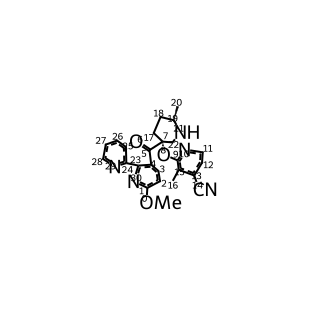 COc1ccc(C(=O)[C@@]2(Oc3nccc(C#N)c3C)CC[C@@H](C)NC2)c(-c2ccccn2)n1